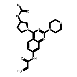 C=CC(=O)Nc1ccc2c(N3CCC(NC(=O)O)C3)nc(N3CCOCC3)nc2c1